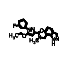 CCOc1cc(C(=O)N(C)Cc2cccc3cn[nH]c23)nn1-c1cccc(F)c1